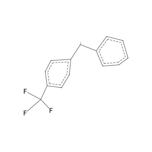 FC(F)(F)c1ccc([CH]c2ccccc2)cc1